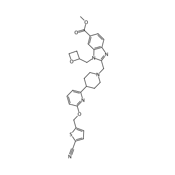 COC(=O)c1ccc2nc(CN3CCC(c4cccc(OCc5ccc(C#N)s5)n4)CC3)n(CC3CCO3)c2c1